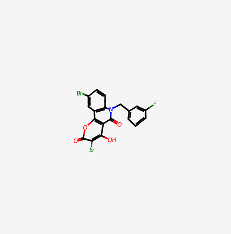 O=c1oc2c(c(O)c1Br)c(=O)n(Cc1cccc(F)c1)c1ccc(Br)cc21